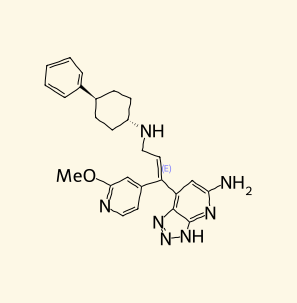 COc1cc(/C(=C\CN[C@H]2CC[C@H](c3ccccc3)CC2)c2cc(N)nc3[nH]nnc23)ccn1